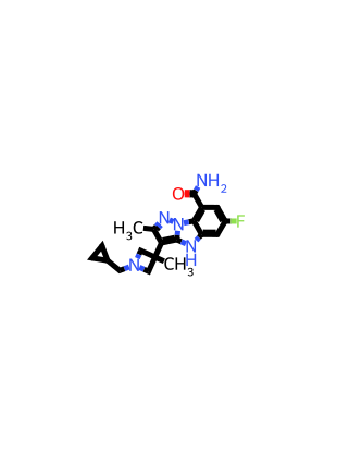 Cc1nn2c([nH]c3cc(F)cc(C(N)=O)c32)c1C1(C)CN(CC2CC2)C1